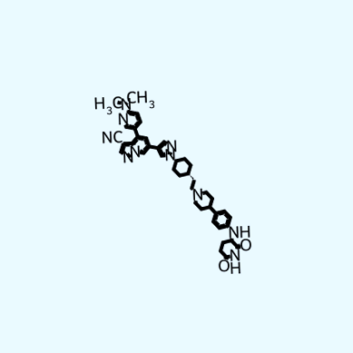 CN(C)c1ccc(-c2cc(-c3cnn([C@H]4CC[C@@H](CCN5CCC(c6ccc(NC7CCC(=O)NC7=O)cc6)CC5)CC4)c3)cn3ncc(C#N)c23)cn1